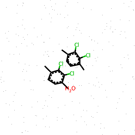 Cc1ccc(C)c(Cl)c1Cl.Cc1ccc(C)c(Cl)c1Cl.O